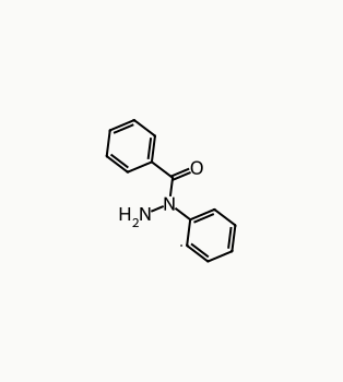 NN(C(=O)c1ccccc1)c1[c]cccc1